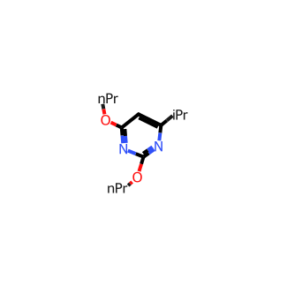 CCCOc1cc(C(C)C)nc(OCCC)n1